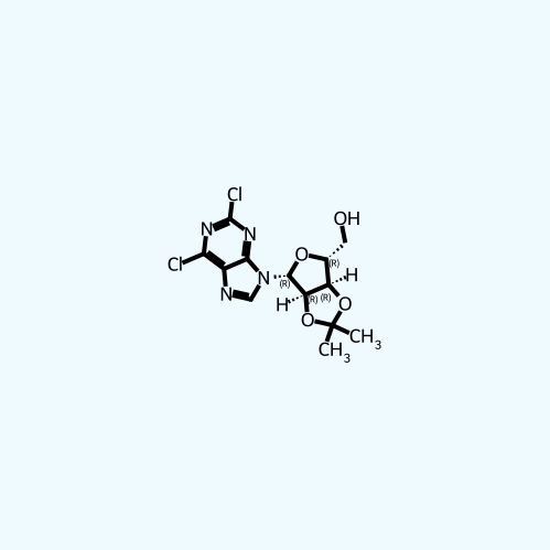 CC1(C)O[C@@H]2[C@H](O1)[C@@H](CO)O[C@H]2n1cnc2c(Cl)nc(Cl)nc21